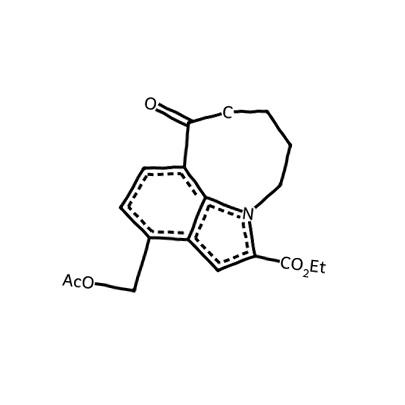 CCOC(=O)c1cc2c(COC(C)=O)ccc3c2n1CCCCC3=O